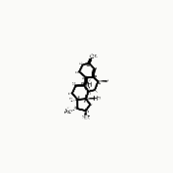 CC[C@@H]1C[C@H]2[C@@H]3C[C@H](C)C4=CC(=O)CCC4=C3CC[C@]2(C)[C@H]1C(C)=O